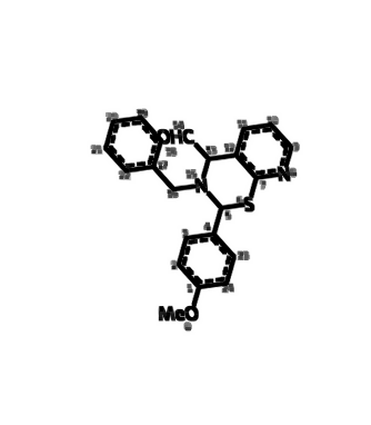 COc1ccc(C2Sc3ncccc3C(C=O)N2Cc2ccccc2)cc1